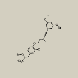 CCOc1cc(C#C/C(C)=C/COc2ccc(C[C@H](OCC)C(=O)O)cc2Cl)cc(OCC)c1